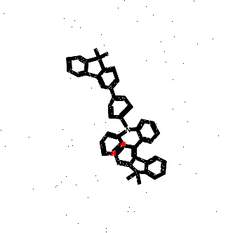 CC1(C)c2ccccc2-c2cc(-c3ccc(N(c4ccccc4)c4ccccc4-c4cccc5c4-c4ccccc4C5(C)C)cc3)ccc21